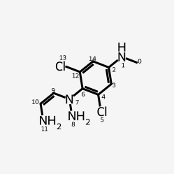 CNc1cc(Cl)c(N(N)/C=C\N)c(Cl)c1